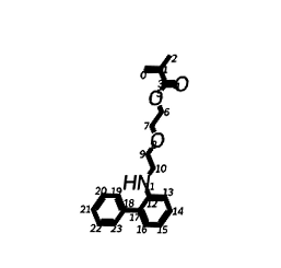 C=C(C)C(=O)OCCOCCNc1ccccc1-c1ccccc1